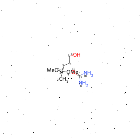 CO[Si](C)(CCCO)OC.NC(N)=O